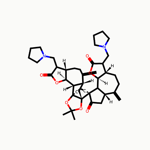 C=C1CC[C@H]2C(CN3CCCC3)C(=O)O[C@@H]2C2[C@H]1CC(=O)[C@]21CCC[C@@]23OC(C)(C)O[C@]21C[C@H]1C(=C)CC[C@H]2C(CN4CCCC4)C(=O)O[C@@H]2[C@H]13